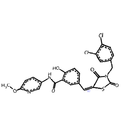 COc1ccc(NC(=O)c2cc(/C=C3/SC(=O)N(Cc4ccc(Cl)c(Cl)c4)C3=O)ccc2O)cn1